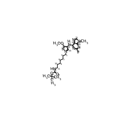 COc1nn(CCCCCCCNC(=O)OC(C)(C)C)cc1Nc1nc(F)nc2c1ncn2C